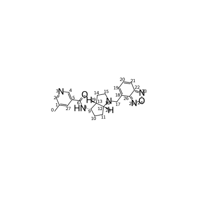 Cc1cncc(C(=O)N[C@H]2CC[C@@H]3[C@H]2CCN3Cc2cccc3nonc23)c1